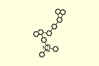 c1ccc(-c2nc(-c3ccccc3)nc(-c3ccc(-c4c(-c5cccc(-c6ccc(-c7ccc8c(c7)-c7cccc9cccc-8c79)cc6)c5)ccc5ccccc45)cc3)n2)cc1